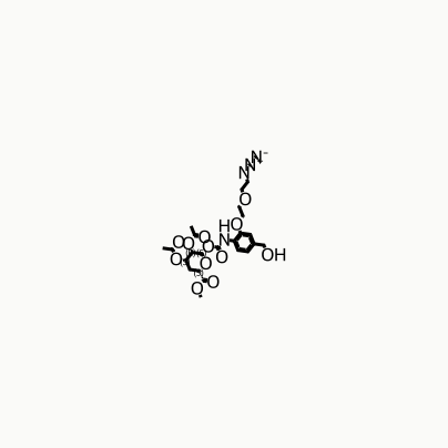 COC(=O)[C@@H]1C[C@H](OC(C)=O)[C@@H](OC(C)=O)[C@H](OC(=O)Nc2ccc(CO)cc2OCCOCCN=[N+]=[N-])O1